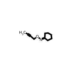 CC#CCON=C1CC[CH]CC1